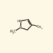 CC1=CNN(C)C1